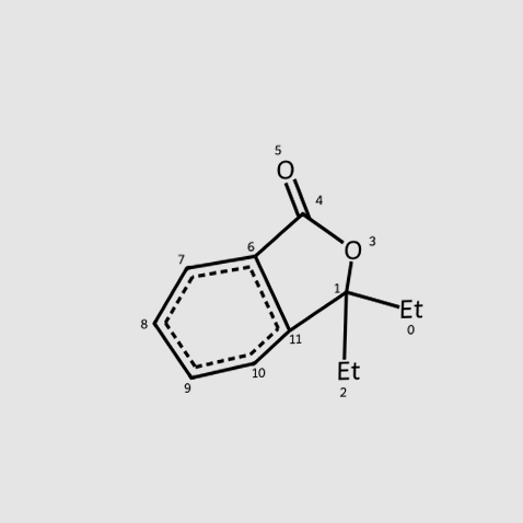 CCC1(CC)OC(=O)c2ccccc21